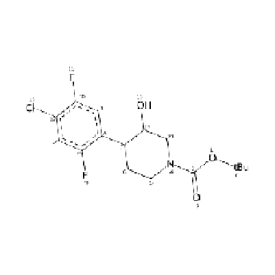 CC(C)(C)OC(=O)N1CCC(c2cc(F)c(Cl)cc2F)C(O)C1